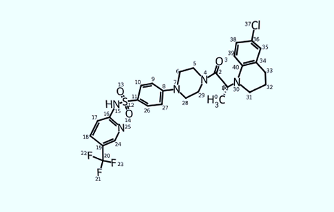 C[C@H](C(=O)N1CCN(c2ccc(S(=O)(=O)Nc3ccc(C(F)(F)F)cn3)cc2)CC1)N1CCCc2cc(Cl)ccc21